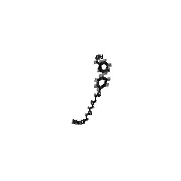 COCCOCCOCCOc1ccc(-c2nccc(CO)n2)cc1